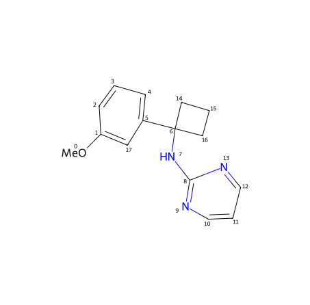 COc1cccc(C2(Nc3ncccn3)CCC2)c1